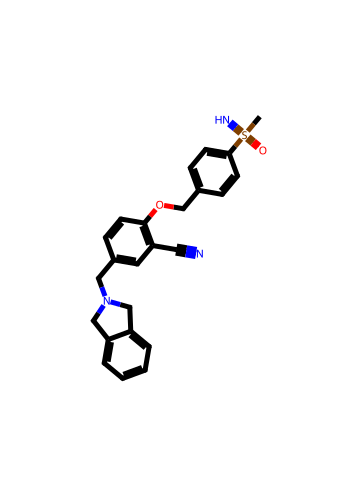 CS(=N)(=O)c1ccc(COc2ccc(CN3Cc4ccccc4C3)cc2C#N)cc1